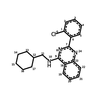 Clc1ccccc1-c1nc(NCC2CCCCC2)c2ccccc2n1